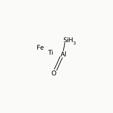 [Fe].[O]=[Al][SiH3].[Ti]